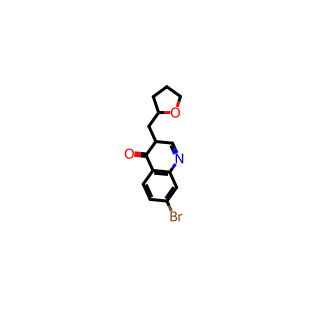 O=C1c2ccc(Br)cc2N=CC1CC1CCCO1